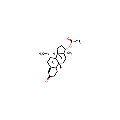 C=C[C@H]1CC2=CC(=O)CC[C@@H]2[C@H]2CC[C@]3(C)[C@@H](OC(C)=O)CC[C@H]3[C@@H]21